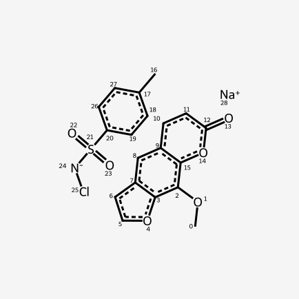 COc1c2occc2cc2ccc(=O)oc12.Cc1ccc(S(=O)(=O)[N-]Cl)cc1.[Na+]